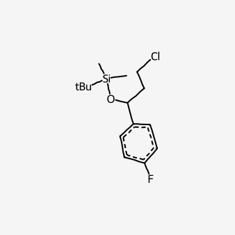 CC(C)(C)[Si](C)(C)OC(CCCl)c1ccc(F)cc1